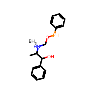 B.CC(NCOPc1ccccc1)C(O)c1ccccc1